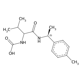 Cc1ccc([C@H](C)NC(=O)C(NC(=O)O)C(C)C)cc1